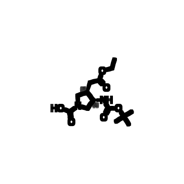 CCOC(=O)C[C@@H]1CN(C(=O)O)C[C@H]1NC(=O)OC(C)(C)C